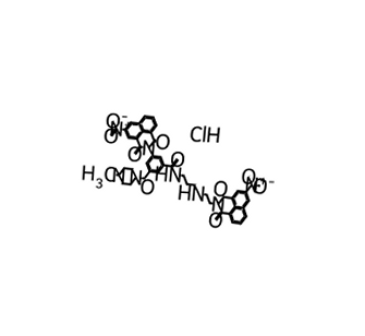 CN1CCN(C(=O)c2cc(C(=O)NCCCNCCN3C(=O)c4cccc5cc([N+](=O)[O-])cc(c45)C3=O)cc(N3C(=O)c4cccc5cc([N+](=O)[O-])cc(c45)C3=O)c2)CC1.Cl